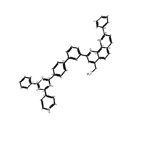 CCc1cc(-c2cccc(-c3ccc(-c4nc(-c5ccccc5)nc(-c5ccncc5)n4)cc3)c2)nc2c1ccc1ccc(-c3ccccc3)nc12